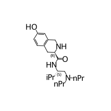 CCCN(CCC)C[C@@H](NC(=O)[C@H]1Cc2ccc(O)cc2CN1)C(C)C